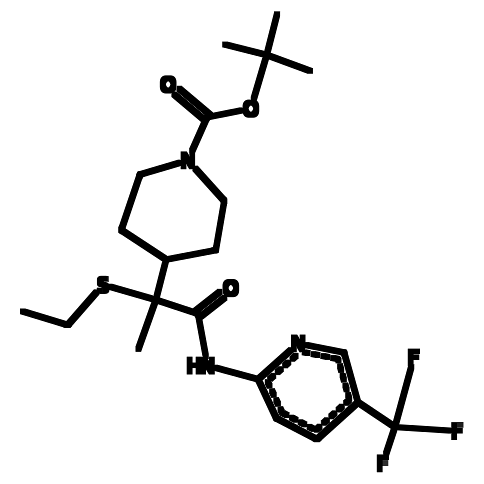 CCSC(C)(C(=O)Nc1ccc(C(F)(F)F)cn1)C1CCN(C(=O)OC(C)(C)C)CC1